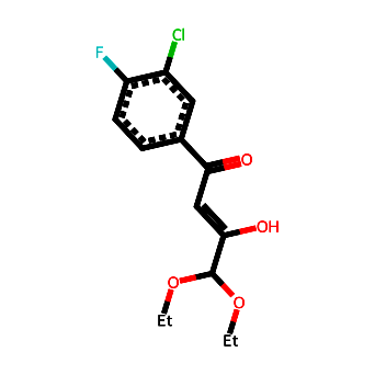 CCOC(OCC)/C(O)=C/C(=O)c1ccc(F)c(Cl)c1